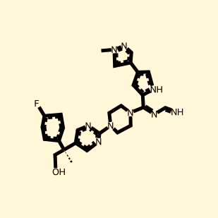 Cn1cc(-c2c[nH]c(/C(=N\C=N)N3CCN(c4ncc([C@@](C)(CO)c5ccc(F)cc5)cn4)CC3)c2)cn1